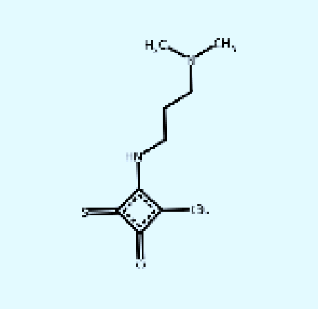 CN(C)CCCNc1c(C(C)(C)C)c(=O)c1=S